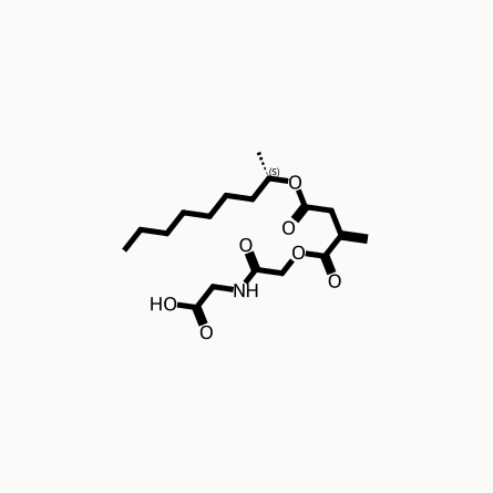 C=C(CC(=O)O[C@@H](C)CCCCCCC)C(=O)OCC(=O)NCC(=O)O